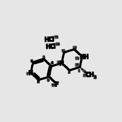 C[C@@H]1CN(c2ccncc2F)CCN1.Cl.Cl